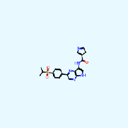 CC(C)S(=O)(=O)c1ccc(-c2cnc3[nH]cc(NC(=O)C4=CN=CC4)c3n2)cc1